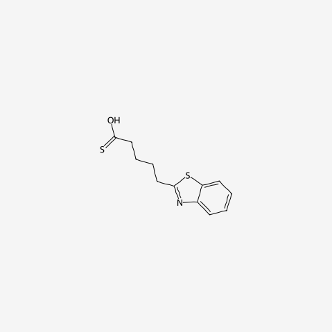 OC(=S)CCCCc1nc2ccccc2s1